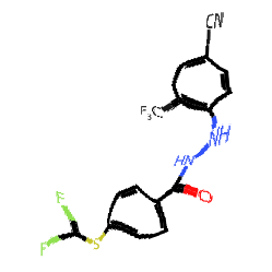 N#Cc1ccc(NNC(=O)c2ccc(SC(F)F)cc2)c(C(F)(F)F)c1